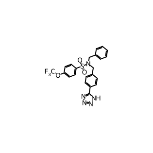 O=S(=O)(c1ccc(OC(F)(F)F)cc1)N(Cc1ccccc1)Cc1ccc(-c2nnn[nH]2)cc1